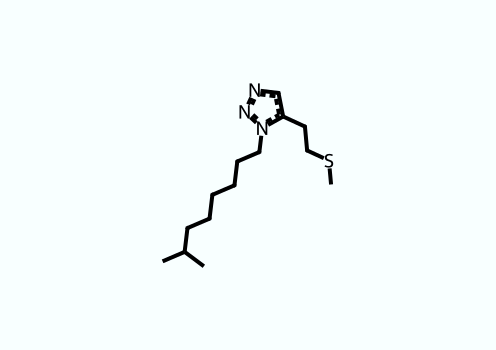 CSCCc1cnnn1CCCCCCC(C)C